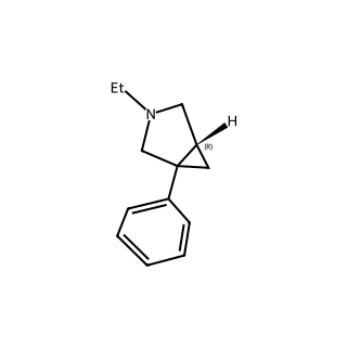 CCN1C[C@@H]2CC2(c2ccccc2)C1